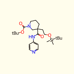 CC(C)(C)OC(=O)N1CCCC(CCO[Si](C)(C)C(C)(C)C)(C(=O)Nc2ccncc2)C1